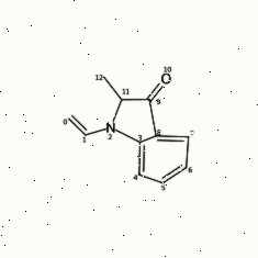 C=CN1c2ccccc2C(=O)C1C